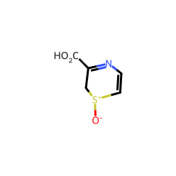 O=C(O)C1=NC=C[S+]([O-])C1